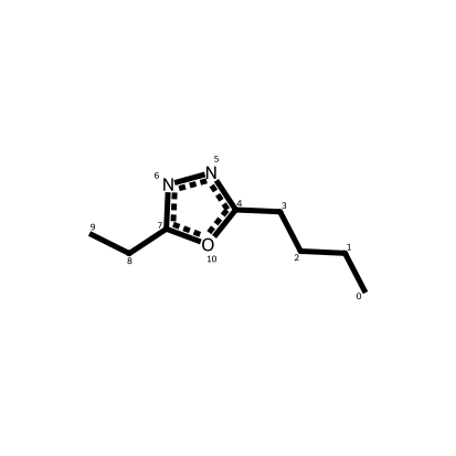 CCCCc1nnc(CC)o1